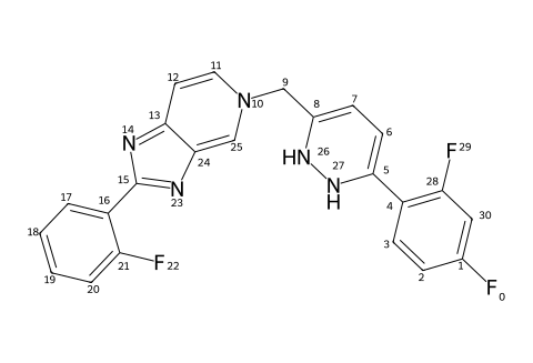 Fc1ccc(C2=CC=C(Cn3ccc4nc(-c5ccccc5F)nc-4c3)NN2)c(F)c1